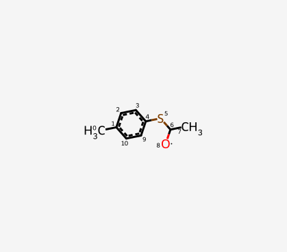 Cc1ccc(SC(C)[O])cc1